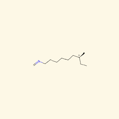 C=NCCCCCC[C@@H](C)CC